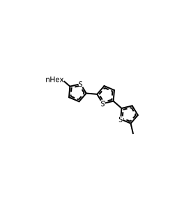 CCCCCCc1ccc(-c2ccc(-c3ccc(C)s3)s2)s1